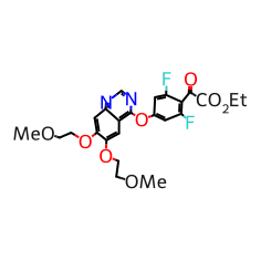 CCOC(=O)C(=O)c1c(F)cc(Oc2ncnc3cc(OCCOC)c(OCCOC)cc23)cc1F